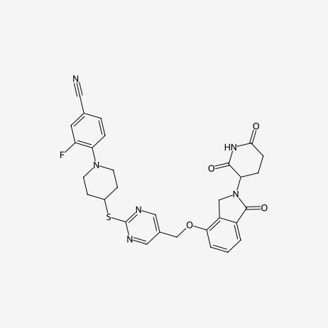 N#Cc1ccc(N2CCC(Sc3ncc(COc4cccc5c4CN(C4CCC(=O)NC4=O)C5=O)cn3)CC2)c(F)c1